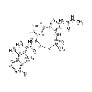 CNC(=O)Nc1ccc2c(c1)NC(=O)C(C)CCCC(NC(=O)/C(N)=C(\C)N(N)c1cccc(Cl)c1F)c1cc-2ccn1